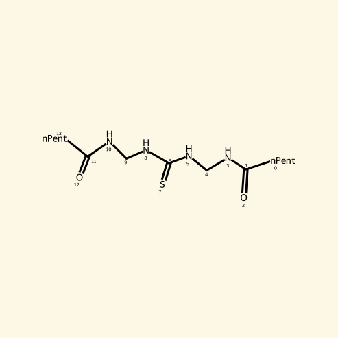 CCCCCC(=O)NCNC(=S)NCNC(=O)CCCCC